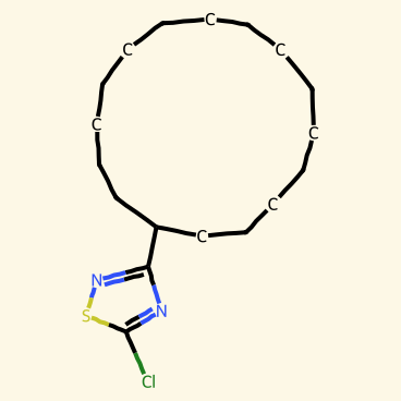 Clc1nc(C2CCCCCCCCCCCCCCC2)ns1